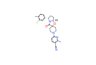 Cc1ccc([C@@H]2CC[C@H]3OC4(CCN(c5ccc(C#N)c(C)n5)CC4)C(=O)N32)cc1F